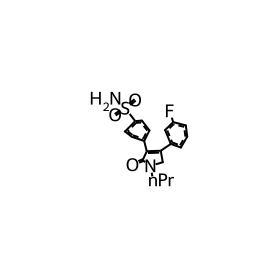 CCCN1CC(c2cccc(F)c2)=C(c2ccc(S(N)(=O)=O)cc2)C1=O